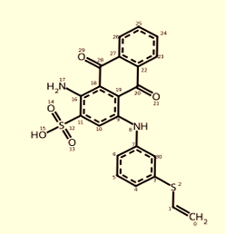 C=CSc1cccc(Nc2cc(S(=O)(=O)O)c(N)c3c2C(=O)c2ccccc2C3=O)c1